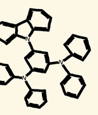 c1ccc(N(c2ccccc2)c2cc(N(c3ccccc3)c3ccccc3)cc(-n3c4ccccc4c4ccccc43)c2)cc1